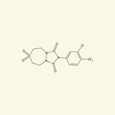 O=c1n(-c2ccc(C(F)(F)F)c(Cl)c2)c(=O)n2n1CCS(=O)(=O)CC2